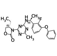 CC[C@H]1COC(=O)N1c1nc(C)nc(N[C@@H](C)c2cccc(Oc3ccccc3)c2F)n1